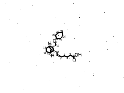 O=C(O)CCC/C=C\C[C@H]1[C@H]2CC[C@H](C2)[C@H]1COC1CCCCC1